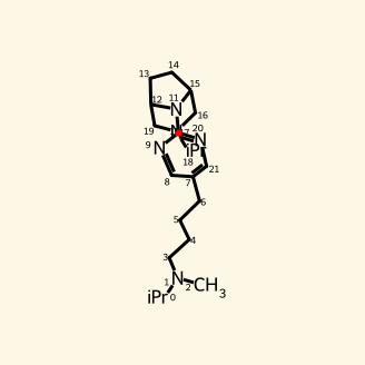 CC(C)N(C)CCCCc1cnc(N2C3CCC2CN(C(C)C)C3)nc1